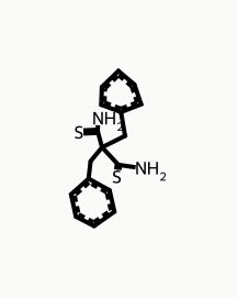 NC(=S)C(Cc1ccccc1)(Cc1ccccc1)C(N)=S